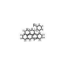 Fc1ccccc1-c1cc2ccc3cccc4ccc(c1-c1ccccc1F)c2c34